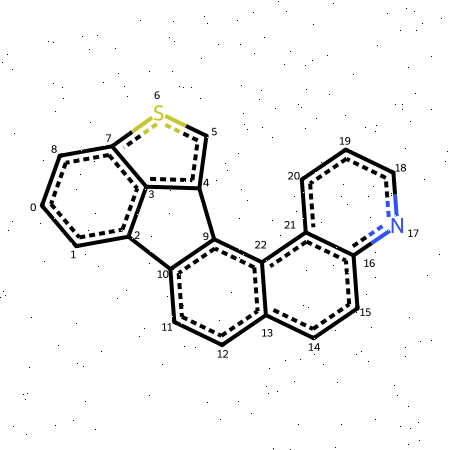 c1cc2c3c(csc3c1)-c1c-2ccc2ccc3ncccc3c12